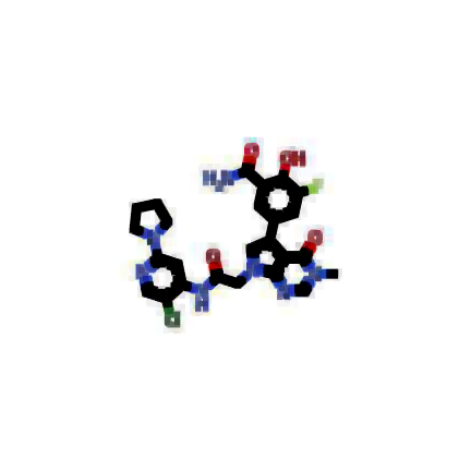 Cn1cnc2c(c(-c3cc(F)c(O)c(C(N)=O)c3)cn2CC(=O)Nc2cc(N3CCCC3)ncc2Cl)c1=O